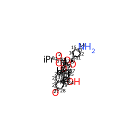 CC(C)C(=O)OCC(=O)[C@@]12O[C@H](c3ccc(N)cc3)O[C@@H]1C[C@H]1[C@@H]3CCC4=CC(=O)C=C[C@]4(C)[C@H]3[C@@H](O)C[C@@]12C